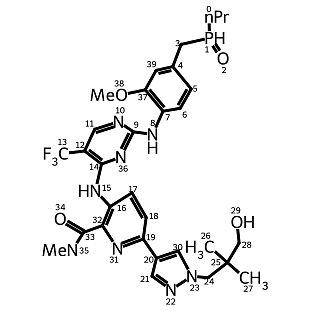 CCC[PH](=O)Cc1ccc(Nc2ncc(C(F)(F)F)c(Nc3ccc(-c4cnn(CC(C)(C)CO)c4)nc3C(=O)NC)n2)c(OC)c1